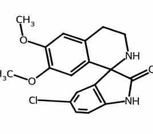 COc1cc2c(cc1OC)C1(NCC2)C(=O)Nc2ccc(Cl)cc21